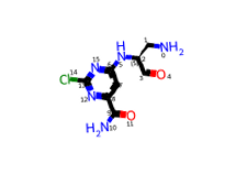 NC[C@@H](C=O)Nc1cc(C(N)=O)nc(Cl)n1